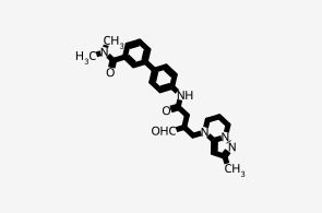 Cc1cc2n(n1)CCCN2CC(C=O)CC(=O)Nc1ccc(-c2cccc(C(=O)N(C)C)c2)cc1